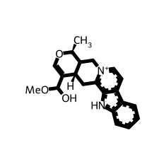 COC(O)C1=CO[C@@H](C)C2C[n+]3ccc4c([nH]c5ccccc54)c3C[C@H]12